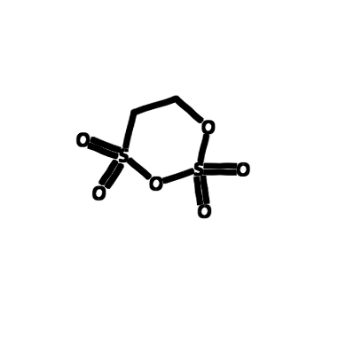 O=S1(=O)CCOS(=O)(=O)O1